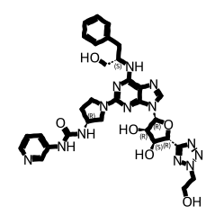 O=C(Nc1cccnc1)N[C@@H]1CCN(c2nc(N[C@H](CO)Cc3ccccc3)c3ncn([C@@H]4O[C@H](c5nnn(CCO)n5)[C@@H](O)[C@H]4O)c3n2)C1